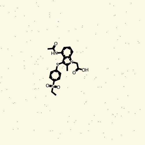 CCS(=O)(=O)c1ccc(Sc2c(C)n(CC(=O)O)c3cccc(NC(C)=O)c23)cc1